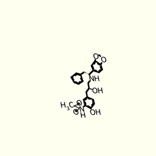 CS(=O)(=O)Nc1cc(C[C@H](O)CN[C@H](Cc2ccccc2)c2ccc3c(c2)OCO3)ccc1O